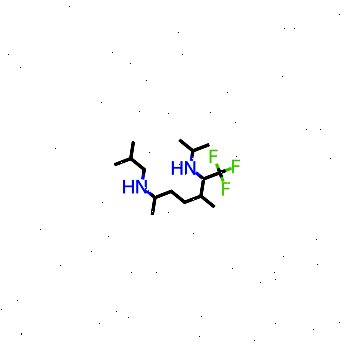 CC(C)CNC(C)CCC(C)C(NC(C)C)C(F)(F)F